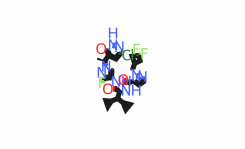 C[C@@H](c1cc(Cl)n[nH]c1=O)n1cc(NC(=O)[C@@H](NC(=O)c2ccnn2CC2CC(F)(F)C2)C(C2CC2)C2CC2)c(F)n1